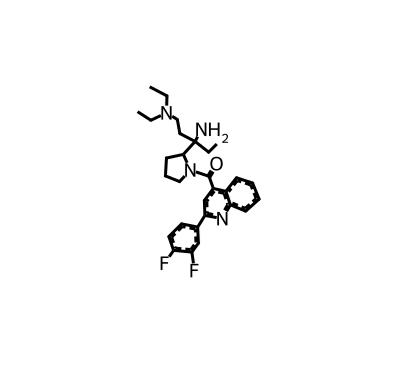 CCN(CC)CCC(N)(CC)C1CCCN1C(=O)c1cc(-c2ccc(F)c(F)c2)nc2ccccc12